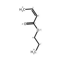 C/C=C\C(=O)O[CH]CC